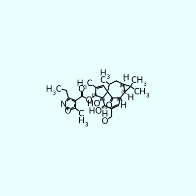 CCc1noc(C)c1C(=O)O[C@H]1C(C)=CC23C(=O)[C@@H](C=C(CO)[C@@H](O)[C@]12O)[C@H]1[C@@H](CC3C)C1(C)C